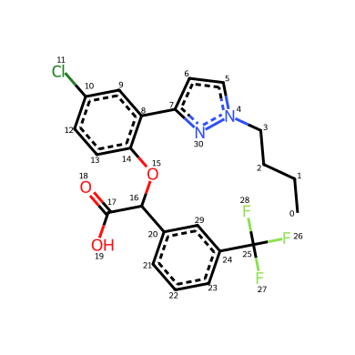 CCCCn1ccc(-c2cc(Cl)ccc2OC(C(=O)O)c2cccc(C(F)(F)F)c2)n1